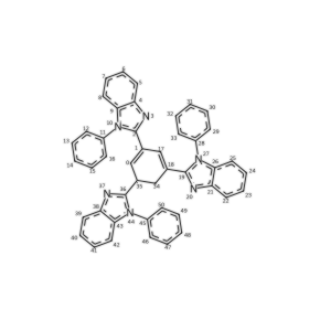 C1=C(c2nc3ccccc3n2-c2ccccc2)C=C(c2nc3ccccc3n2-c2ccccc2)C[C]1c1nc2ccccc2n1-c1ccccc1